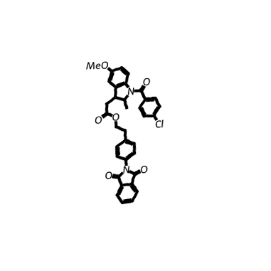 COc1ccc2c(c1)C(CC(=O)OCCc1ccc(N3C(=O)c4ccccc4C3=O)cc1)C(C)N2C(=O)c1ccc(Cl)cc1